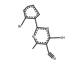 Cc1nc(-c2ccccc2Br)nc(S)c1C#N